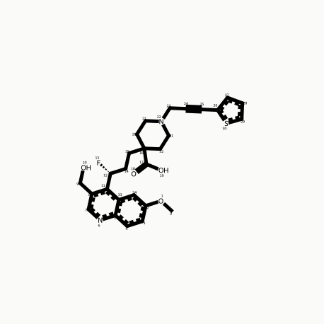 COc1ccc2ncc(CO)c([C@H](F)CCC3(C(=O)O)CCN(CC#Cc4cccs4)CC3)c2c1